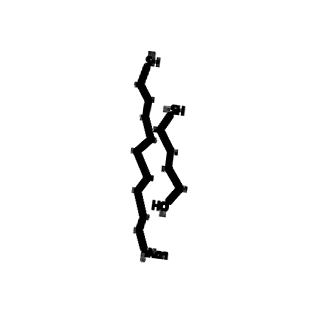 CCCCCCCCCCCCCCCCCCS.OCCCCS